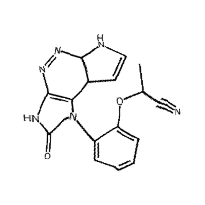 CC(C#N)Oc1ccccc1-n1c2c([nH]c1=O)N=NC1NC=CC21